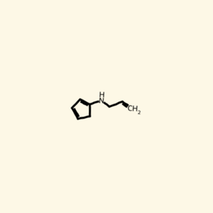 C=CCNC1=CC=CC1